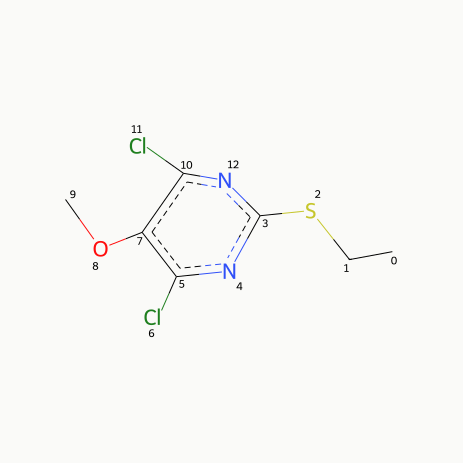 CCSc1nc(Cl)c(OC)c(Cl)n1